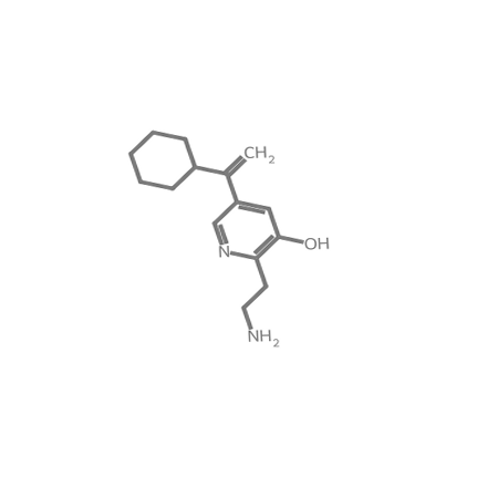 C=C(c1cnc(CCN)c(O)c1)C1CCCCC1